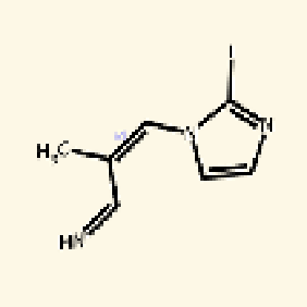 C/C(C=N)=C/n1ccnc1I